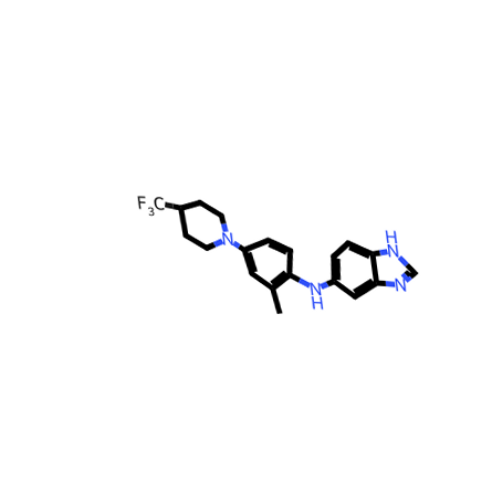 Cc1cc(N2CCC(C(F)(F)F)CC2)ccc1Nc1ccc2[nH]cnc2c1